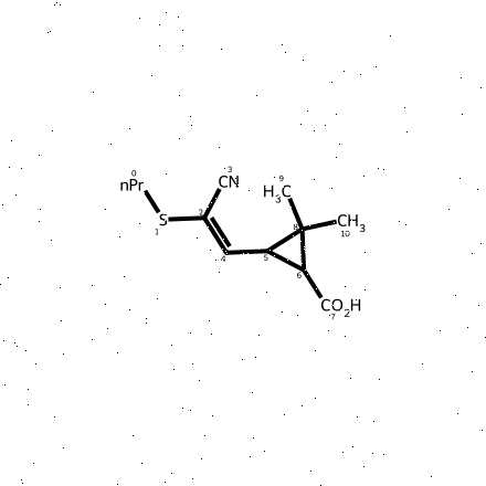 CCCS/C(C#N)=C/C1C(C(=O)O)C1(C)C